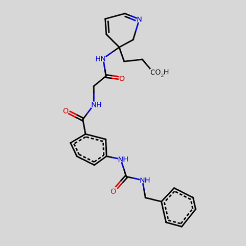 O=C(O)CCC1(NC(=O)CNC(=O)c2cccc(NC(=O)NCc3ccccc3)c2)C=CC=NC1